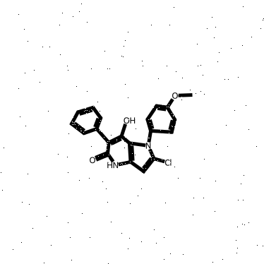 COc1ccc(-n2c(Cl)cc3[nH]c(=O)c(-c4ccccc4)c(O)c32)cc1